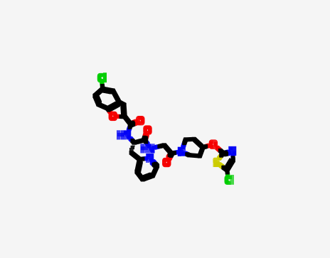 O=C(N[C@@H](Cc1ccccn1)C(=O)NCC(=O)N1CCC(Oc2ncc(Cl)s2)CC1)c1cc2cc(Cl)ccc2o1